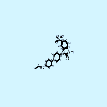 CCOC1CCC(N2CCC(n3c(=O)[nH]c4ccc(S(C)(=O)=O)cc43)CC2)CC1